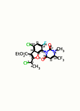 CCOC(=O)c1c(C(C)Cl)oc2c(-n3c(=O)cc(C(F)(F)F)n(C)c3=O)c(F)cc(Cl)c12